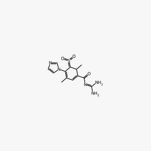 CC1=C(n2ccnc2)C(=S(=O)=O)C(C)C(C(=O)N=C(N)N)=C1